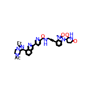 CCc1nc(-c2cccc3cc(-c4ccc(C(=O)NCC#Cc5cccc6c5n(C)c(=O)n6C5CCC(=O)NC5=O)nc4)ncc23)c2n1CCN(C(C)=O)C2